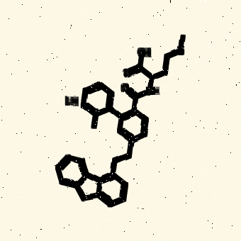 CSCCC(NC(=O)c1ccc(CCc2cccc3c2-c2ccccc2C3)cc1-c1ccccc1C)C(=O)O.[LiH]